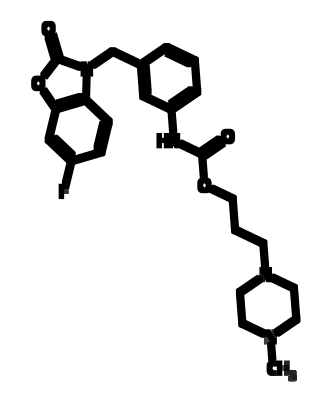 CN1CCN(CCCOC(=O)Nc2cccc(Cn3c(=O)oc4cc(F)ccc43)c2)CC1